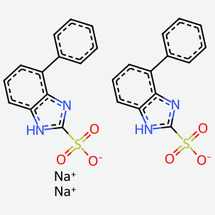 O=S(=O)([O-])c1nc2c(-c3ccccc3)cccc2[nH]1.O=S(=O)([O-])c1nc2c(-c3ccccc3)cccc2[nH]1.[Na+].[Na+]